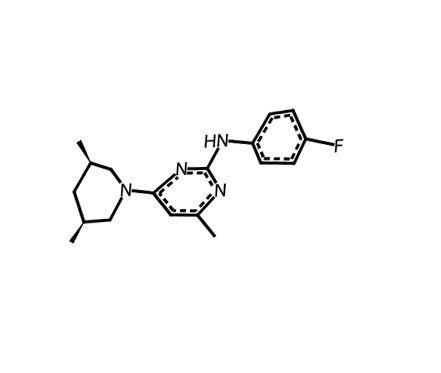 Cc1cc(N2C[C@H](C)C[C@H](C)C2)nc(Nc2ccc(F)cc2)n1